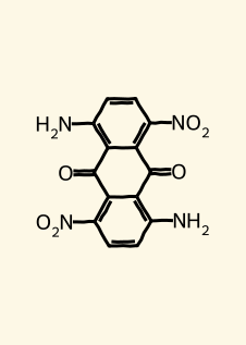 Nc1ccc([N+](=O)[O-])c2c1C(=O)c1c([N+](=O)[O-])ccc(N)c1C2=O